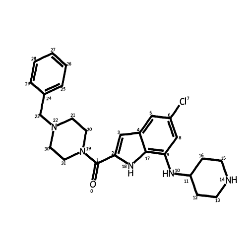 O=C(c1cc2cc(Cl)cc(NC3CCNCC3)c2[nH]1)N1CCN(Cc2ccccc2)CC1